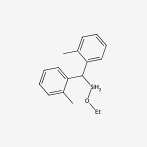 CCO[SiH2]C(c1ccccc1C)c1ccccc1C